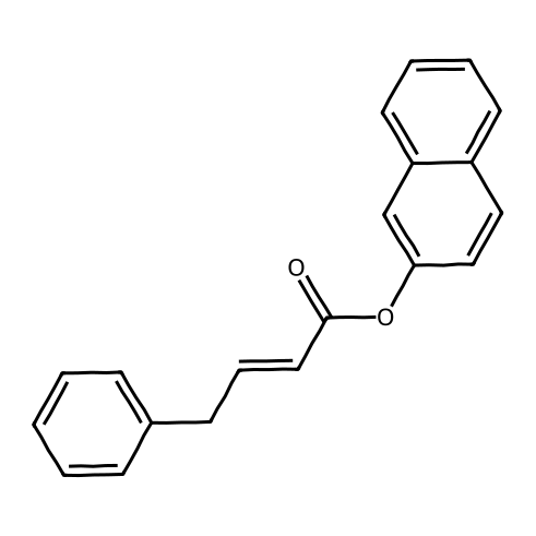 O=C(C=CCc1ccccc1)Oc1ccc2ccccc2c1